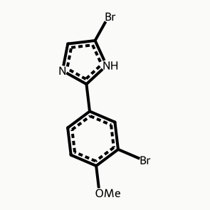 COc1ccc(-c2ncc(Br)[nH]2)cc1Br